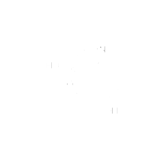 CS(=O)(=O)c1c(N)ccc(O)c1O